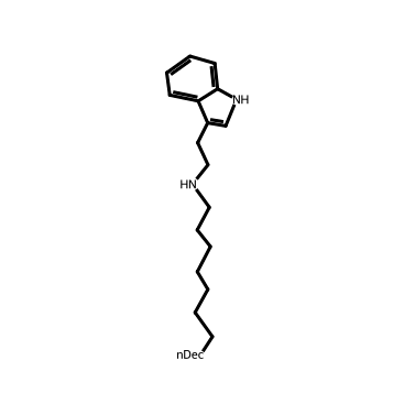 CCCCCCCCCCCCCCCCCNCCc1c[nH]c2ccccc12